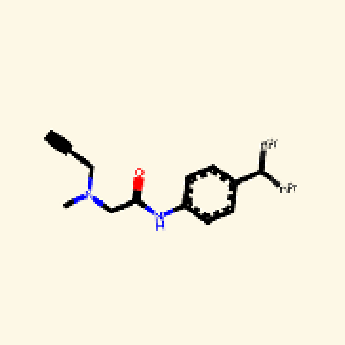 C#CCN(C)CC(=O)Nc1ccc(C(CCC)CCC)cc1